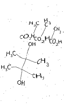 CC(=O)O.CC(=O)O.CC(=O)O.CC(C)(O)C(C)(C)O